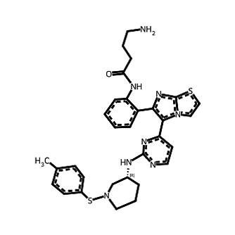 Cc1ccc(SN2CCC[C@@H](Nc3nccc(-c4c(-c5ccccc5NC(=O)CCCN)nc5sccn45)n3)C2)cc1